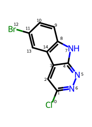 Clc1cc2c(nn1)[nH]c1ccc(Br)cc12